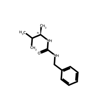 CC(C)[C@@H](C)NC(=O)NCc1ccccc1